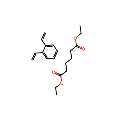 C=Cc1ccccc1C=C.CCOC(=O)CCCCC(=O)OCC